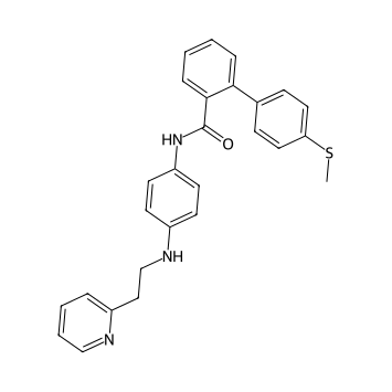 CSc1ccc(-c2ccccc2C(=O)Nc2ccc(NCCc3ccccn3)cc2)cc1